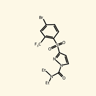 CCN(CC)C(=O)n1ccc(S(=O)(=O)c2ccc(Br)cc2C(F)(F)F)n1